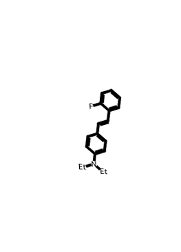 CCN(CC)c1ccc(C=Cc2ccccc2F)cc1